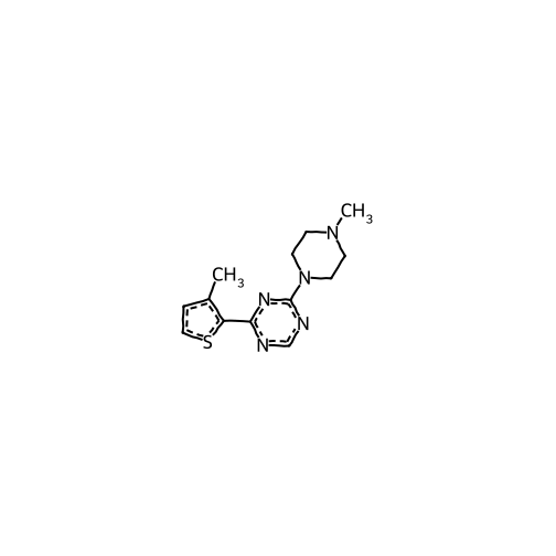 Cc1ccsc1-c1ncnc(N2CCN(C)CC2)n1